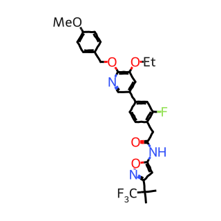 CCOc1cc(-c2ccc(CC(=O)Nc3cc(C(C)(C)C(F)(F)F)no3)c(F)c2)cnc1OCc1ccc(OC)cc1